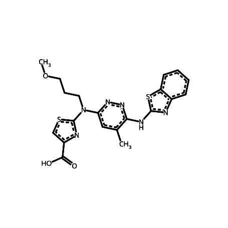 COCCCN(c1cc(C)c(Nc2nc3ccccc3s2)nn1)c1nc(C(=O)O)cs1